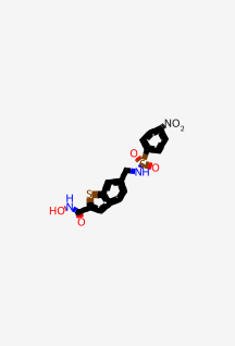 O=C(NO)c1cc2ccc(CNS(=O)(=O)c3ccc([N+](=O)[O-])cc3)cc2s1